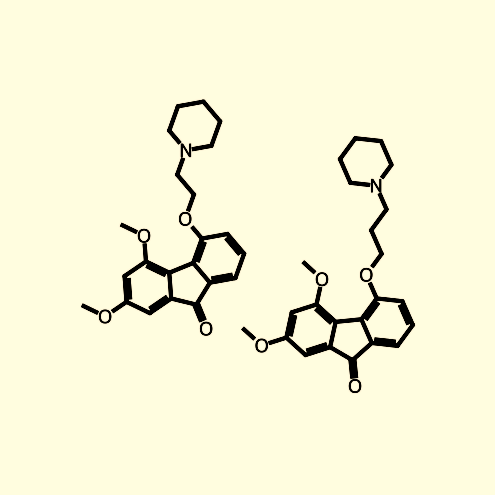 COc1cc(OC)c2c(c1)C(=O)c1cccc(OCCCN3CCCCC3)c1-2.COc1cc(OC)c2c(c1)C(=O)c1cccc(OCCN3CCCCC3)c1-2